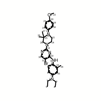 CCN(CC)c1ccc(Nc2nc(N3CCN(c4ccc(OC)cc4)C(C)(C)C3)ncc2Br)c(C)c1